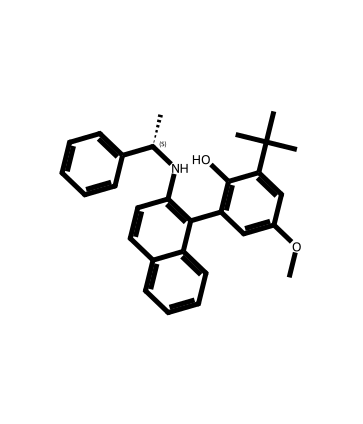 COc1cc(-c2c(N[C@@H](C)c3ccccc3)ccc3ccccc23)c(O)c(C(C)(C)C)c1